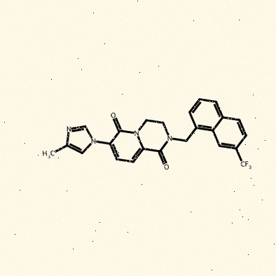 Cc1cn(-c2ccc3n(c2=O)CCN(Cc2cccc4ccc(C(F)(F)F)cc24)C3=O)cn1